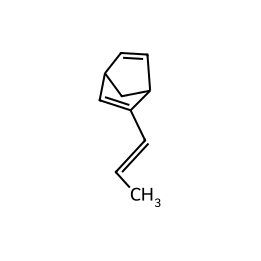 CC=CC1=CC2C=CC1C2